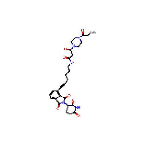 CC(C)(C)CC(=O)N1CCN(C(=O)CC(=O)NCCCCC#Cc2cccc3c2C(=O)N(C2CCC(=O)NC2=O)C3=O)CC1